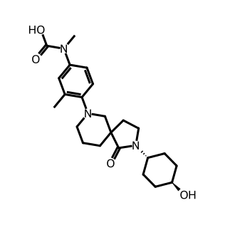 Cc1cc(N(C)C(=O)O)ccc1N1CCCC2(CCN([C@H]3CC[C@H](O)CC3)C2=O)C1